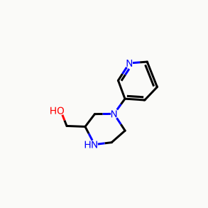 OCC1CN(c2cccnc2)CCN1